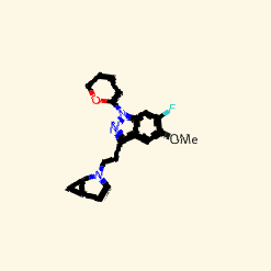 COc1cc2c(CCN3CCC4CC43)nn(C3CCCCO3)c2cc1F